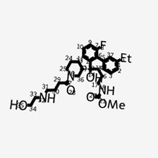 CCc1cccc(-c2c(F)cccc2C(O)(CCCNC(=O)OC)[C@H]2CCCN(C(=O)CCCNCCO)C2)c1